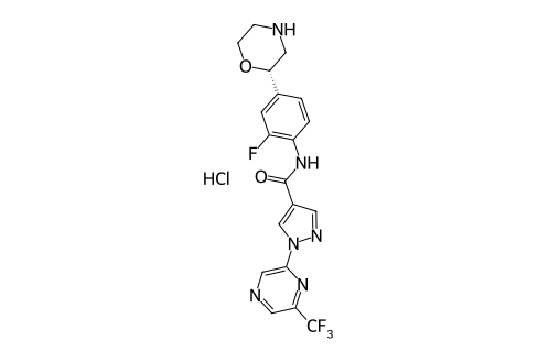 Cl.O=C(Nc1ccc([C@H]2CNCCO2)cc1F)c1cnn(-c2cncc(C(F)(F)F)n2)c1